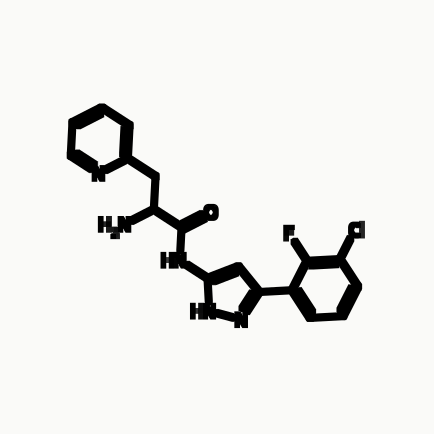 NC(Cc1ccccn1)C(=O)Nc1cc(-c2cccc(Cl)c2F)n[nH]1